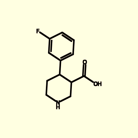 O=C(O)C1CNCCC1c1cccc(F)c1